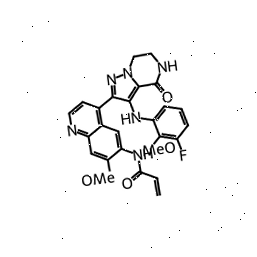 C=CC(=O)Nc1cc2c(-c3nn4c(c3Nc3cccc(F)c3OC)C(=O)NCC4)ccnc2cc1OC